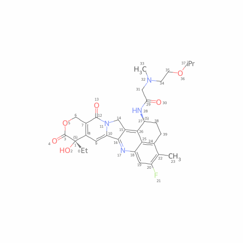 CC[C@@]1(O)C(=O)OCc2c1cc1n(c2=O)Cc2c-1nc1cc(F)c(C)c3c1c2[C@@H](NC(=O)CN(C)CCOC(C)C)CC3